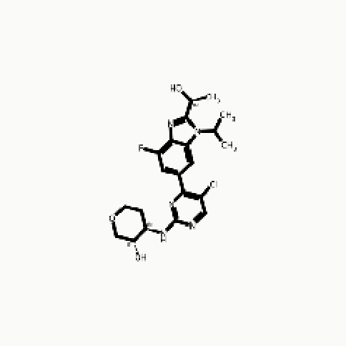 CC(C)n1c([C@H](C)O)nc2c(F)cc(-c3nc(N[C@@H]4CCOC[C@H]4O)ncc3Cl)cc21